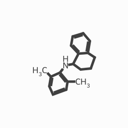 Cc1cccc(C)c1NC1CCCc2ccccc21